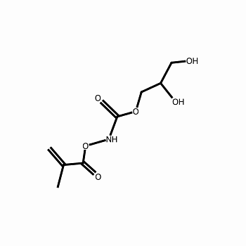 C=C(C)C(=O)ONC(=O)OCC(O)CO